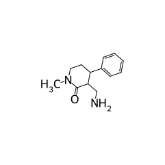 CN1CCC(c2ccccc2)C(CN)C1=O